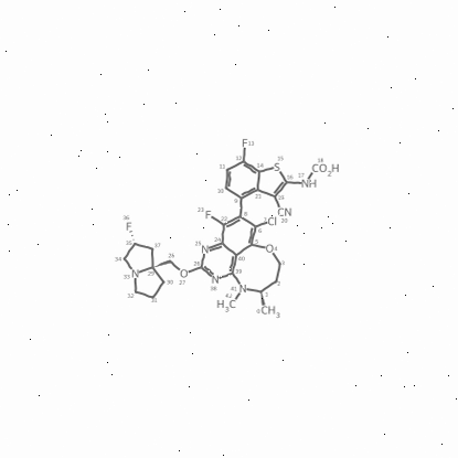 C[C@@H]1CCOc2c(Cl)c(-c3ccc(F)c4sc(NC(=O)O)c(C#N)c34)c(F)c3nc(OC[C@@]45CCCN4C[C@H](F)C5)nc(c23)N1C